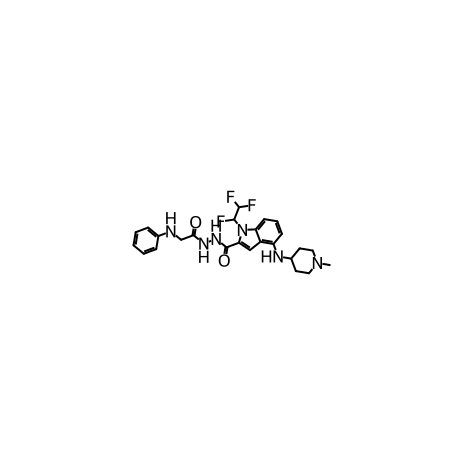 CN1CCC(Nc2cccc3c2cc(C(=O)NNC(=O)CNc2ccccc2)n3C(F)C(F)F)CC1